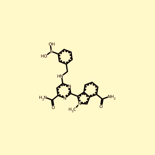 Cn1cc2c(C(N)=O)cccc2c1-c1nc(NCc2cccc(B(O)O)c2)cc(C(N)=O)n1